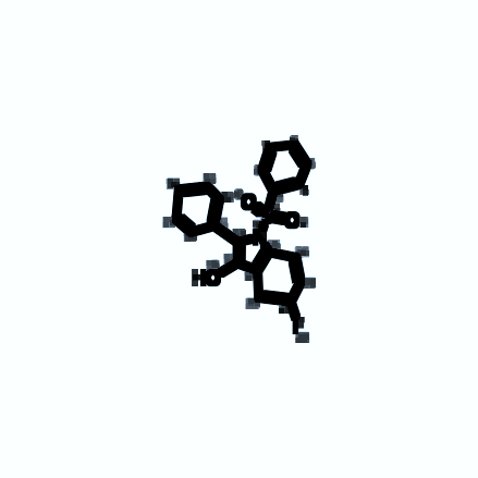 O=S(=O)(c1ccccc1)n1c(-c2ccccc2)c(O)c2cc(F)ccc21